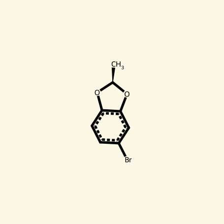 C[C@@H]1Oc2ccc(Br)cc2O1